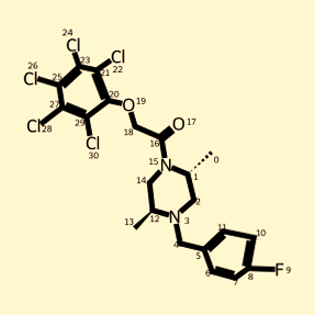 C[C@@H]1CN(Cc2ccc(F)cc2)[C@@H](C)CN1C(=O)COc1c(Cl)c(Cl)c(Cl)c(Cl)c1Cl